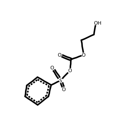 O=C(OCCO)OS(=O)(=O)c1ccccc1